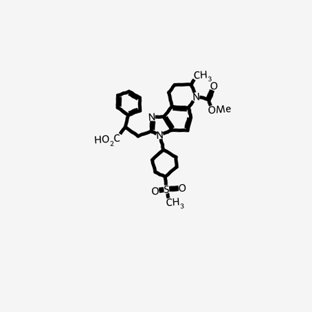 COC(=O)N1c2ccc3c(nc(CC(C(=O)O)c4ccccc4)n3C3CCC(S(C)(=O)=O)CC3)c2CCC1C